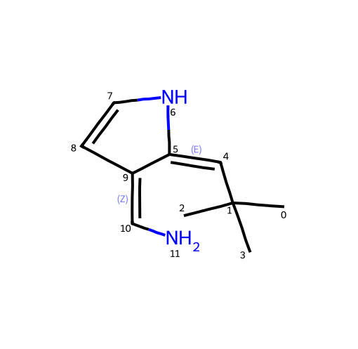 CC(C)(C)/C=c1/[nH]cc/c1=C/N